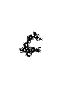 CCOC(=O)CC(c1ccnc(OCC2CCN(c3cc(OC)ccc3C(=O)N(c3ccccn3)C3CCN(CC(F)(F)F)CC3)CC2)c1)C1CC1